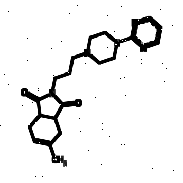 CC1=CCC2C(=O)N(CCCN3CCN(c4ncccn4)CC3)C(=O)C2C1